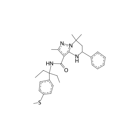 CCC(CC)(NC(=O)c1c(C)nn2c1NC(c1ccccc1)CC2(C)C)c1ccc(SC)cc1